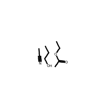 CC#N.CCCO.CCOC(C)=O